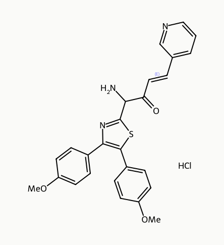 COc1ccc(-c2nc(C(N)C(=O)/C=C/c3cccnc3)sc2-c2ccc(OC)cc2)cc1.Cl